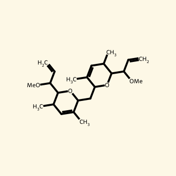 C=CC(OC)C1OC(CC2OC(C(C=C)OC)C(C)C=C2C)C(C)=CC1C